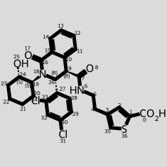 O=C(O)c1cc(CCNC(=O)[C@@H]2c3ccccc3C(=O)N([C@H]3CCCC[C@@H]3O)[C@H]2c2ccc(Cl)cc2Cl)cs1